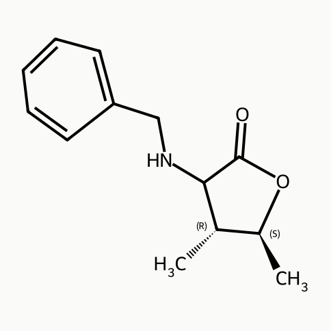 C[C@@H]1OC(=O)C(NCc2ccccc2)[C@H]1C